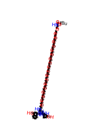 CC(C)(C)OC(=O)NCCOCCOCCOCCOCCOCCOCCOCCOCCOCCOCCOCCOCCOCCOCCOCCOCCOCCOCCOCCNc1nc(Nc2cccc(O)c2)nc(Nc2ccc(O)c3ccccc23)n1